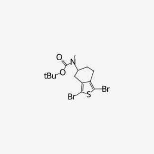 CN(C(=O)OC(C)(C)C)C1CCc2c(Br)sc(Br)c2C1